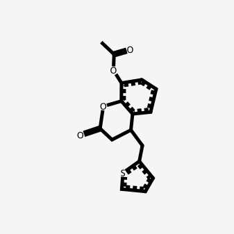 CC(=O)Oc1cccc2c1OC(=O)CC2Cc1cccs1